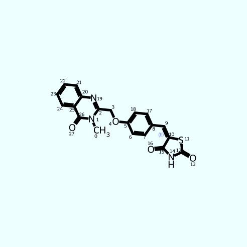 Cn1c(COc2ccc(/C=C3/SC(=O)NC3=O)cc2)nc2ccccc2c1=O